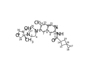 C[C@@]1(N2CCN(c3cc4cc(NC(=O)C5CC6(CC6)C5)ncc4cc3Cl)CC2)COC[C@@H]1O